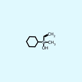 C=C[Si](C)(O)C1CCCCC1